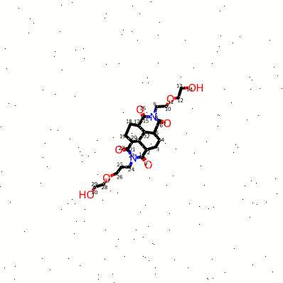 O=C1C2CCC3C(=O)N(CCOCCO)C(=O)C4CCC(C(=O)N1CCCOCCO)C2C34